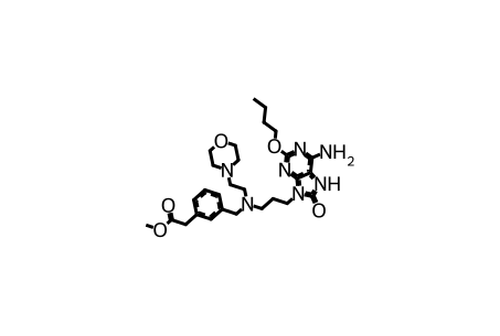 CCCCOc1nc(N)c2[nH]c(=O)n(CCCN(CCN3CCOCC3)Cc3cccc(CC(=O)OC)c3)c2n1